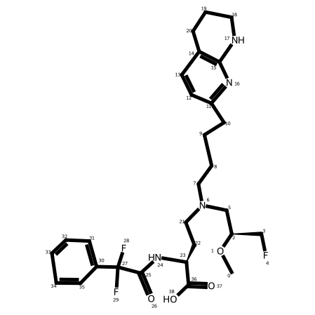 CO[C@H](CF)CN(CCCCc1ccc2c(n1)NCCC2)CC[C@H](NC(=O)C(F)(F)c1ccccc1)C(=O)O